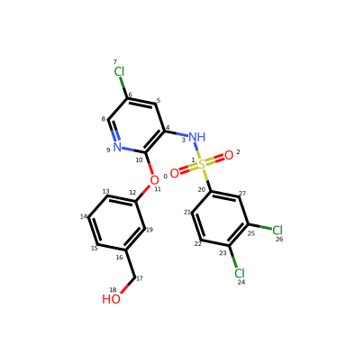 O=S(=O)(Nc1cc(Cl)cnc1Oc1cccc(CO)c1)c1ccc(Cl)c(Cl)c1